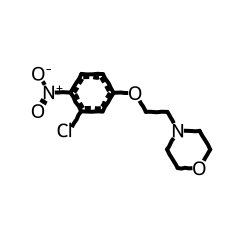 O=[N+]([O-])c1ccc(OCCN2CCOCC2)cc1Cl